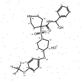 Cl.O=C(NC(O)c1ccccc1)C1(S(=O)(=O)N2CCC(Oc3ccc(OC(F)(F)F)cc3)CC2)CCNCC1